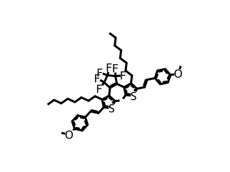 CCCCCCCCc1c(C=Cc2ccc(OC)cc2)sc(C)c1C1=C(c2c(C)sc(C=Cc3ccc(OC)cc3)c2CCCCCCCC)C(F)(F)C(F)(F)C1(F)F